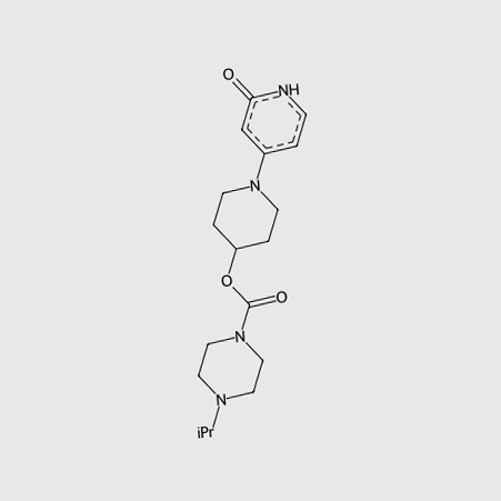 CC(C)N1CCN(C(=O)OC2CCN(c3cc[nH]c(=O)c3)CC2)CC1